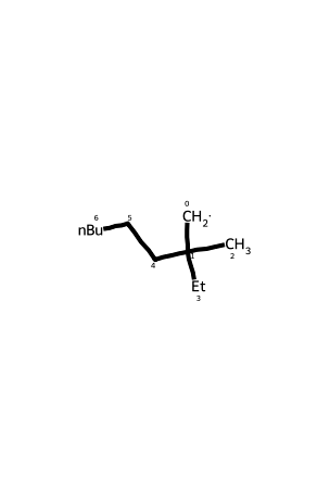 [CH2]C(C)(CC)CCCCCC